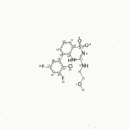 COCCNC1=NS(=O)(=O)c2cccc(-c3cc(F)cc(F)c3Cl)c2N1